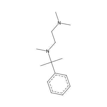 CN(C)CCN(C)C(C)(C)c1ccccc1